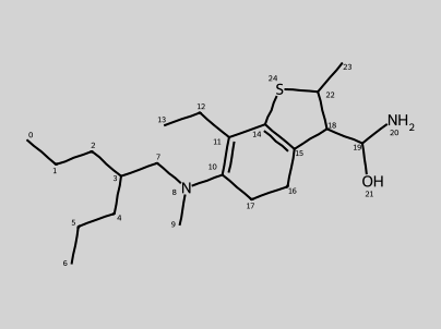 CCCC(CCC)CN(C)C1=C(CC)C2=C(CC1)C(C(N)O)C(C)S2